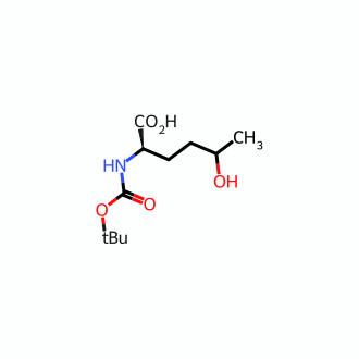 CC(O)CC[C@@H](NC(=O)OC(C)(C)C)C(=O)O